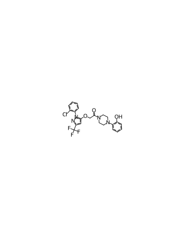 O=C(COc1cc(C(F)(F)F)nn1-c1ccccc1Cl)N1CCN(c2ccccc2O)CC1